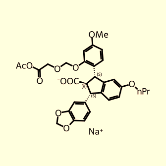 CCCOc1ccc2c(c1)[C@@H](c1ccc(OC)cc1OCOCC(=O)OC(C)=O)[C@H](C(=O)[O-])[C@H]2c1ccc2c(c1)OCO2.[Na+]